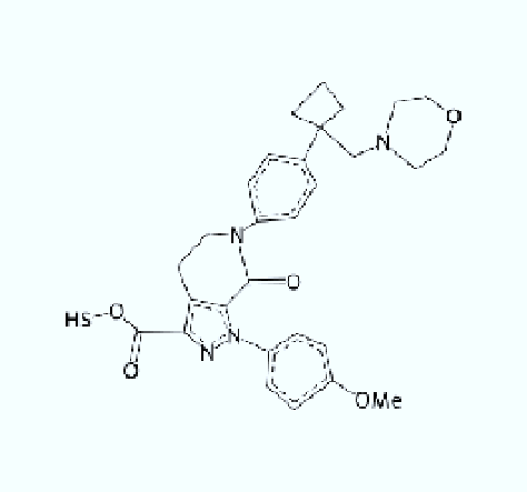 COc1ccc(-n2nc(C(=O)OS)c3c2C(=O)N(c2ccc(C4(CN5CCOCC5)CCC4)cc2)CC3)cc1